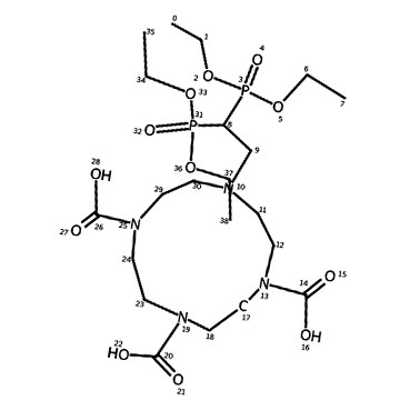 CCOP(=O)(OCC)C(CN1CCN(C(=O)O)CCN(C(=O)O)CCN(C(=O)O)CC1)P(=O)(OCC)OCC